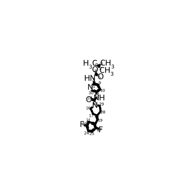 CC(C)(C)OC(=O)Nc1ccc(NC(=O)N2CCC(=Cc3cc(F)ccc3F)CC2)cn1